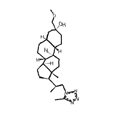 COC[C@@]1(O)CC[C@H]2[C@@H](CC[C@@H]3[C@@H]2CC[C@]2(C)[C@@H]([C@H](C)Cn4nnnc4C)CC[C@@H]32)C1